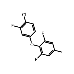 Cc1cc(F)c(Oc2ccc(Cl)c(F)c2)c(F)c1